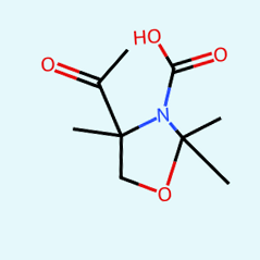 CC(=O)C1(C)COC(C)(C)N1C(=O)O